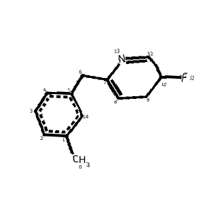 Cc1cccc(CC2=CCC(F)C=N2)c1